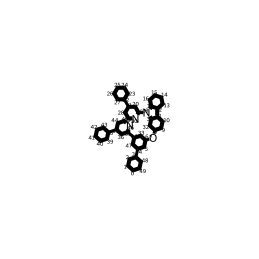 c1ccc(-c2cc(Oc3ccc4c5ccccc5n(-c5cc(-c6ccccc6)ccn5)c4c3)cc(-c3cc(-c4ccccc4)ccn3)c2)cc1